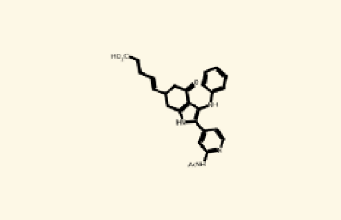 CC(=O)Nc1cc(-c2[nH]c3c(c2Nc2ccccc2)C(=O)CC(/C=C/CCC(=O)O)C3)ccn1